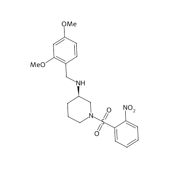 COc1ccc(CN[C@@H]2CCCN(S(=O)(=O)c3ccccc3[N+](=O)[O-])C2)c(OC)c1